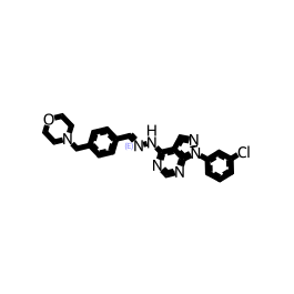 Clc1cccc(-n2ncc3c(N/N=C/c4ccc(CN5CCOCC5)cc4)ncnc32)c1